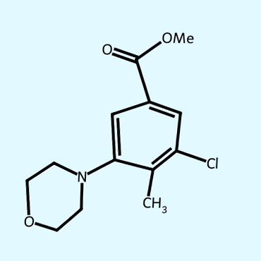 COC(=O)c1cc(Cl)c(C)c(N2CCOCC2)c1